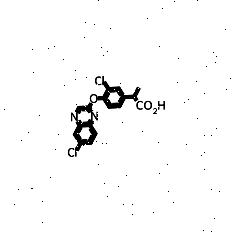 CC(C(=O)O)c1ccc(Oc2cnc3cc(Cl)ccc3n2)c(Cl)c1